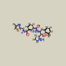 Cc1csc(CN(C)C(=O)C2=CC(C(=O)N[C@@H](Cc3cccc(F)c3)[C@H](O)[C@H]3CCCN3)CC=C2)n1